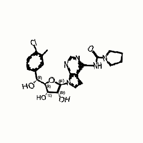 Cc1cc([C@@H](O)[C@H]2O[C@@H](n3ccc4c(NC(=O)N5CCCC5)ncnc43)[C@H](O)[C@@H]2O)ccc1Cl